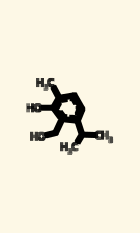 Cc1ccc(C(C)C)c(CO)c1O